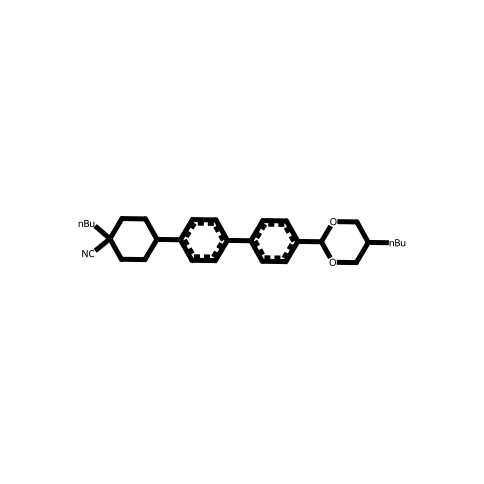 CCCCC1COC(c2ccc(-c3ccc(C4CCC(C#N)(CCCC)CC4)cc3)cc2)OC1